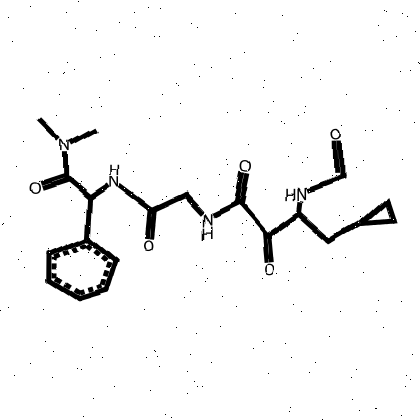 CN(C)C(=O)C(NC(=O)CNC(=O)C(=O)C(CC1CC1)NC=O)c1ccccc1